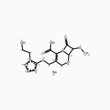 COC1C(=O)N2C(C(=O)O)=C(CSc3nnnn3CCO)COC12.[Na]